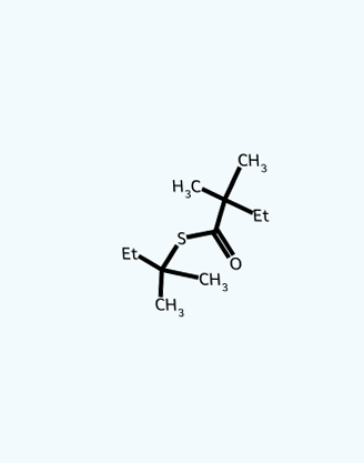 CCC(C)(C)SC(=O)C(C)(C)CC